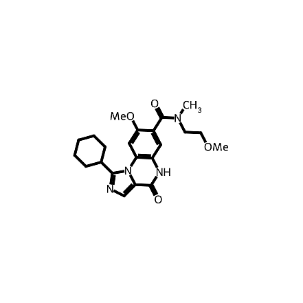 COCCN(C)C(=O)c1cc2[nH]c(=O)c3cnc(C4CCCCC4)n3c2cc1OC